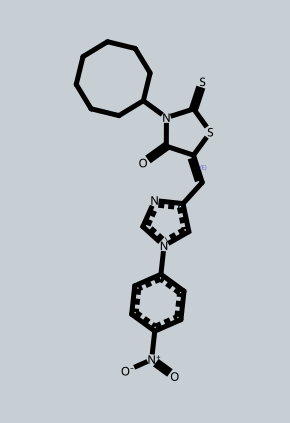 O=C1/C(=C\c2cn(-c3ccc([N+](=O)[O-])cc3)cn2)SC(=S)N1C1CCCCCCC1